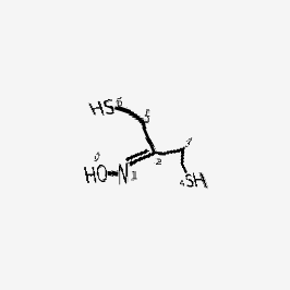 ON=C(CS)CS